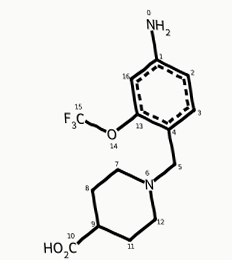 Nc1ccc(CN2CCC(C(=O)O)CC2)c(OC(F)(F)F)c1